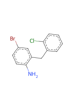 Nc1ccc(Br)cc1Cc1ccccc1Cl